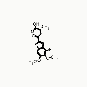 COc1cc2sc(C(=O)C[C@@H](C)C(=O)O)cc2c(F)c1OC